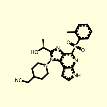 Cc1ccccc1S(=O)(=O)c1nc2[nH]ccc2c2c1nc([C@H](C)O)n2N1CCC(CC#N)CC1